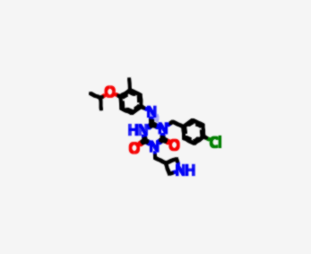 Cc1cc(/N=c2\[nH]c(=O)n(CC3CNC3)c(=O)n2Cc2ccc(Cl)cc2)ccc1OC(C)C